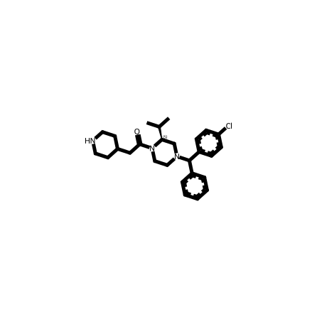 CC(C)[C@H]1CN(C(c2ccccc2)c2ccc(Cl)cc2)CCN1C(=O)CC1CCNCC1